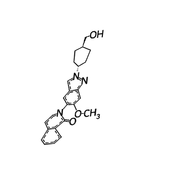 COc1cc2nn([C@H]3CC[C@H](CO)CC3)cc2cc1-n1ccc2ccccc2c1=O